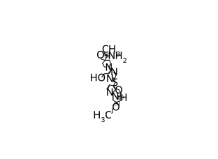 CCCO[C@H]1C[C@H]2COc3c(Sc4cnc(N5CCC6(CC5)CO[C@@H](C)[C@H]6N)c(CO)n4)ccnc3N2C1